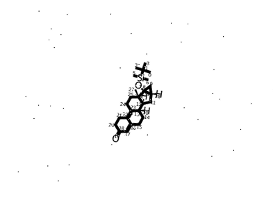 CC(C)(C)[Si](C)(C)O[C@@]12C[C@@H]1C[C@H]1[C@@H]3CCC4=CC(=O)CCC4=C3CC[C@@]12C